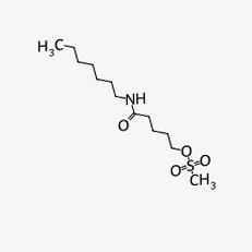 CCCCCCCNC(=O)CCCCOS(C)(=O)=O